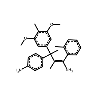 COc1cc(C(C)(/C(C)=C(/N)c2ccccc2C)c2ccc(N)cc2)cc(OC)c1C